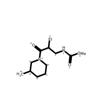 CCC(CNC(=O)OC)C(=O)N1CCCC(C)C1